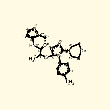 Cc1ccc(-n2c(SC(C)C(=O)Nc3ccnn3C(C)C)nnc2N2CCOCC2)cc1